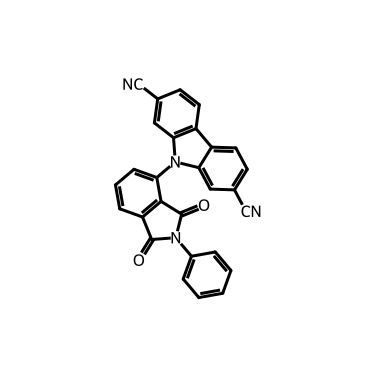 N#Cc1ccc2c3ccc(C#N)cc3n(-c3cccc4c3C(=O)N(c3ccccc3)C4=O)c2c1